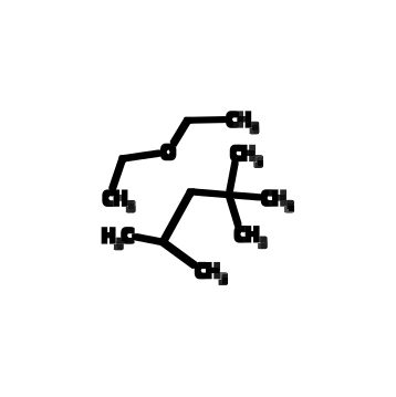 CC(C)CC(C)(C)C.CCOCC